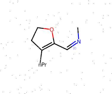 CCCC1=C(/C=N\C)OCC1